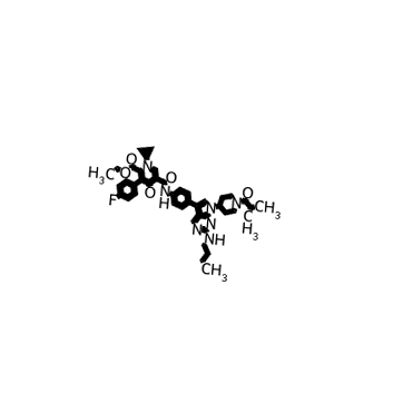 CCCCNc1ncc2c(-c3ccc(NC(=O)c4cn(C5CC5)c(C(=O)OCC)c(-c5ccc(F)cc5)c4=O)cc3)cn(C3CCN(C(=O)C(C)C)CC3)c2n1